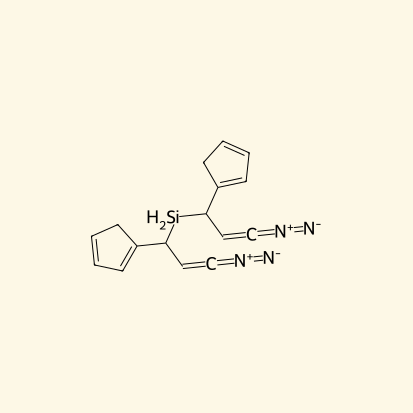 [N-]=[N+]=C=CC([SiH2]C(C=C=[N+]=[N-])C1=CC=CC1)C1=CC=CC1